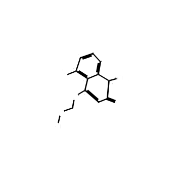 COCOC1=CC(=O)C(C)c2cccc(C)c21